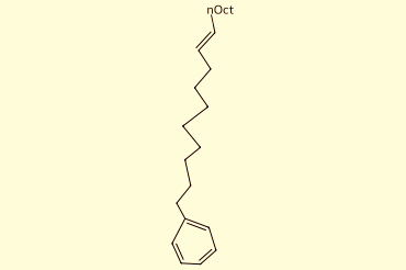 CCCCCCCCC=CCCCCCCCCc1ccccc1